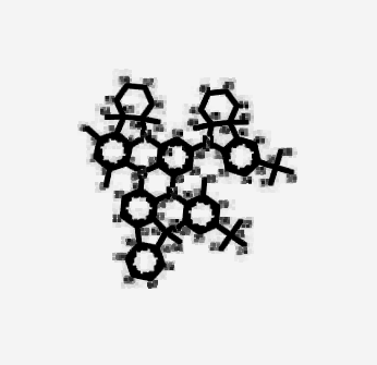 Cc1cc(C)c2c3c1B1c4ccc5c(c4N(c4c(C)cc(C(C)(C)C)cc4C)c4cc(N6c7ccc(C(C)(C)C)cc7C7(C)CCCCC67C)cc(c41)N3C1(C)CCCCC21C)C(C)(C)c1ccccc1-5